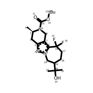 C[C@@H]1Cc2nn3c(c2CN1C(=O)OC(C)(C)C)C(F)(F)CCC(C(C)(C)O)C3